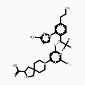 CCCc1ccc([C@@H](Oc2cc(N3CCC4(CC3)CNC(C(=O)O)C4)nc(N)n2)C(F)(F)F)c(-n2ccc(C)n2)c1